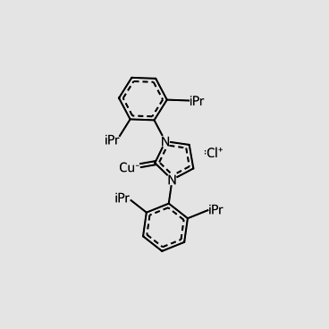 CC(C)c1cccc(C(C)C)c1-n1ccn(-c2c(C(C)C)cccc2C(C)C)[c]1=[Cu-].[Cl+]